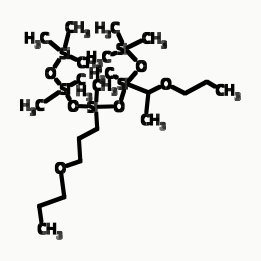 CCCOCCC[Si](C)(O[Si](C)(C)O[Si](C)(C)C)O[Si](C)(O[Si](C)(C)C)C(C)OCCC